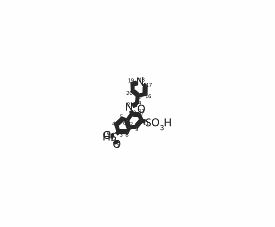 O=[SH](=O)c1ccc2c(c1)cc(S(=O)(=O)O)c1oc(-c3ccncc3)nc12